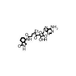 CCN(CCC(=O)Nc1cccc2c1CNC2=O)C(=O)C1OC(n2cnc3c(N)ncnc32)C(O)C1O